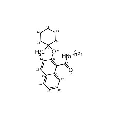 CCCNC(=O)c1c(OC2(C)CCCCC2)ccc2ccccc12